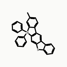 Cc1ccc2c(c1)[Si](c1ccccc1)(c1ccccc1)c1cc3sc4ccccc4c3cc1-2